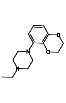 CCN1CCN(c2cccc3c2OCCO3)CC1